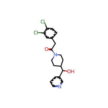 O=C(Cc1ccc(Cl)c(Cl)c1)N1CCC(C(O)c2cccnc2)CC1